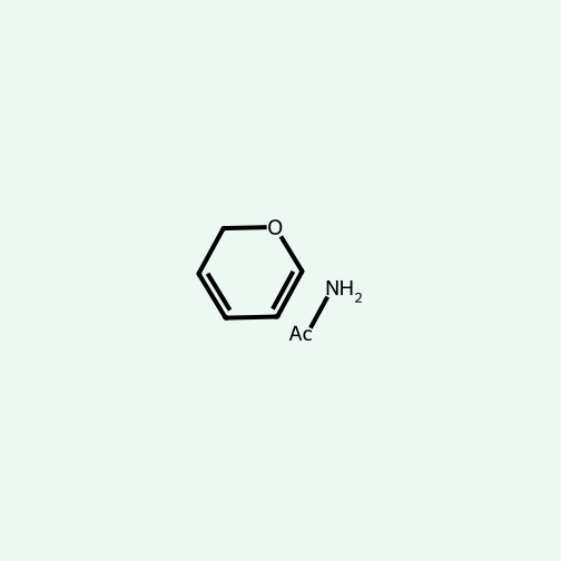 C1=CCOC=C1.CC(N)=O